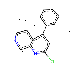 Clc1cc(-c2ccccc2)c2ccncc2n1